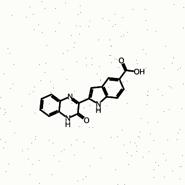 O=C(O)c1ccc2[nH]c(-c3nc4ccccc4[nH]c3=O)cc2c1